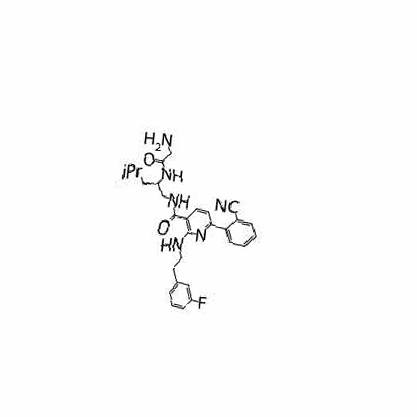 CC(C)C[C@H](CNC(=O)c1ccc(-c2ccccc2C#N)nc1NCCc1cccc(F)c1)NC(=O)CN